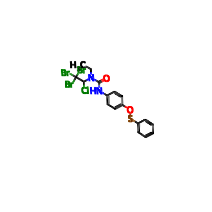 CCN(C(=O)Nc1ccc(OSc2ccccc2)cc1)C(Cl)C(Br)(Br)Br